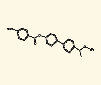 CCCCCCCCc1ccc(C(=O)Oc2ccc(-c3ccc(C(C)OCCC)cc3)cc2)cc1